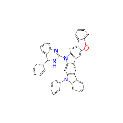 c1ccc(C2NC(n3c4cc5c(cc4c4cc6c7ccccc7n(-c7ccccc7)c6cc43)oc3ccccc35)=Nc3ccccc32)cc1